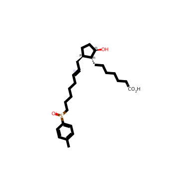 Cc1ccc([S+]([O-])CCCCC/C=C/C[C@H]2CC[C@@H](O)[C@@H]2CCCCCCC(=O)O)cc1